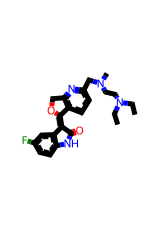 CCN(CC)CCN(C)Cc1ccc2c(n1)COC2=C1C(=O)Nc2ccc(F)cc21